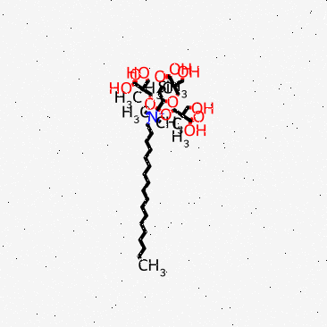 CCCCCCCCCCCCCCCCCC[N+](C)(C)C(OCC(C)(CO)C(=O)O)(OCC(C)(CO)C(=O)O)C(C[SiH3])OCC(C)(CO)C(=O)O